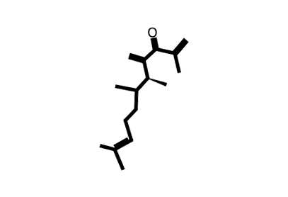 C=C(C)C(=O)C(=C)[C@@H](C)C(C)CCC=C(C)C